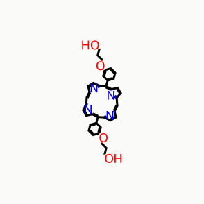 OCCCOc1cccc(C2=C3C=CC(=N3)C=C3C=CC(=N3)C(c3cccc(OCCCO)c3)=C3C=CC(=N3)C=C3C=CC2=N3)c1